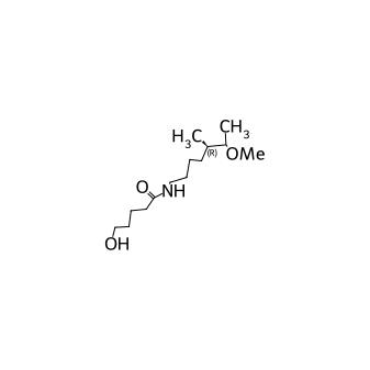 COC(C)[C@H](C)CCCCNC(=O)CCCCO